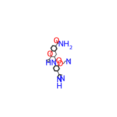 CN(C)CCOc1cc(-c2cn[nH]c2)ccc1NC(=O)C1Cc2cc(C(N)=O)ccc2OC1C1CC1